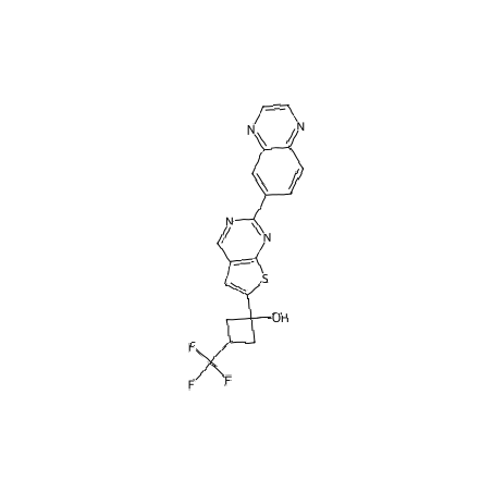 OC1(c2cc3cnc(-c4ccc5nccnc5c4)nc3s2)CC(C(F)(F)F)C1